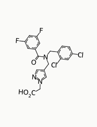 O=C(O)Cn1cc(CN(Cc2ccc(Cl)cc2Cl)C(=O)c2cc(F)cc(F)c2)cn1